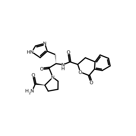 NC(=O)[C@@H]1CCCN1C(=O)[C@H](Cc1c[nH]cn1)NC(=O)C1Cc2ccccc2C(=O)O1